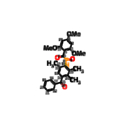 COc1cc(OC)c(C(=O)[PH](=O)c2c(C)cc(C(=O)c3ccccc3)c(C)c2C)c(OC)c1